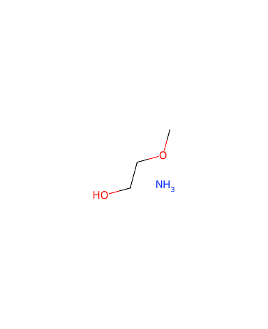 COCCO.N